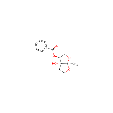 C[C@]12OCC[C@@]1(O)[C@@H](OC(=O)c1ccccc1)CO2